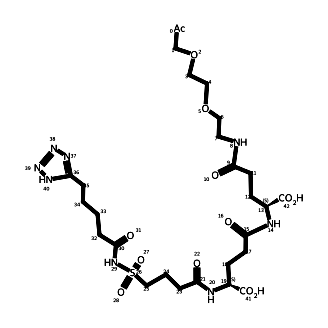 CC(=O)COCCOCCNC(=O)CC[C@H](NC(=O)CC[C@H](NC(=O)CCCS(=O)(=O)NC(=O)CCCCc1nnn[nH]1)C(=O)O)C(=O)O